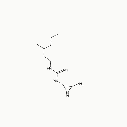 CCCC(C)CCNC(=N)NC1NC1N